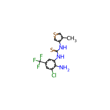 Cc1cscc1NC(=S)Nc1cc(C(F)(F)F)cc(Cl)c1N